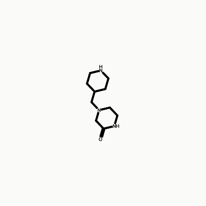 O=C1CN(CC2CCNCC2)CCN1